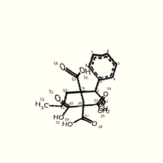 C=CC(c1ccccc1)C(CCC)(C(=O)O)C(C(=O)O)(C(=O)O)C(=O)O